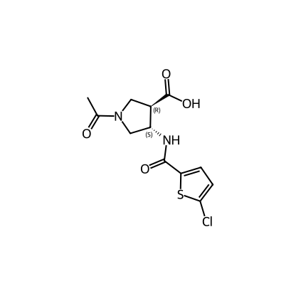 CC(=O)N1C[C@@H](NC(=O)c2ccc(Cl)s2)[C@H](C(=O)O)C1